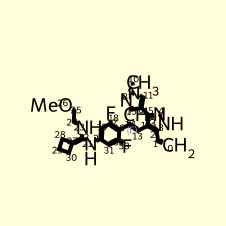 C=Cc1[nH]nc(-c2cnn(C)c2)c1/C=C(\C)c1c(F)cc(NC(NCCOC)=C2CCC2)cc1F